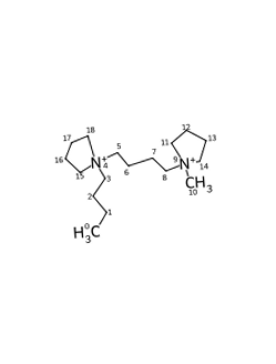 CCCC[N+]1(CCCC[N+]2(C)CCCC2)CCCC1